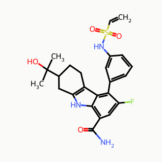 C=CS(=O)(=O)Nc1cccc(-c2c(F)cc(C(N)=O)c3[nH]c4c(c23)CCC(C(C)(C)O)C4)c1